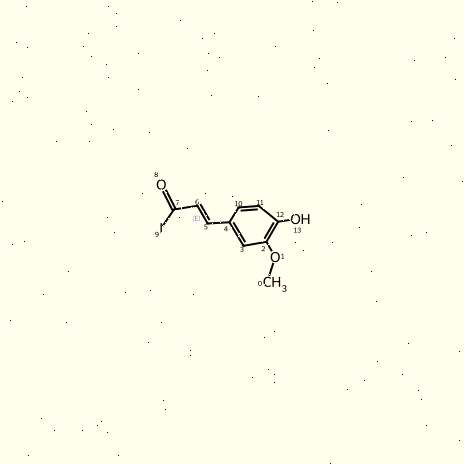 COc1cc(/C=C/C(=O)I)ccc1O